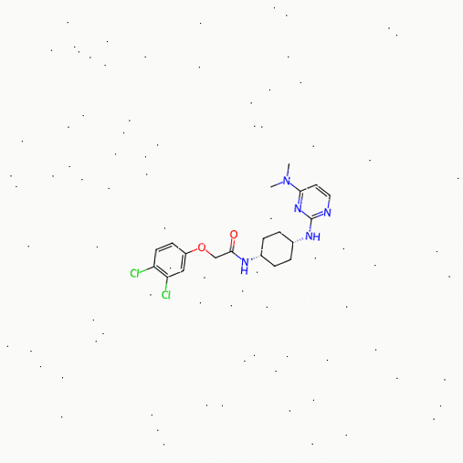 CN(C)c1ccnc(N[C@H]2CC[C@@H](NC(=O)COc3ccc(Cl)c(Cl)c3)CC2)n1